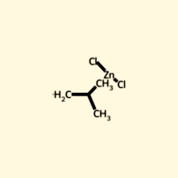 [CH2]C(C)C.[Cl][Zn][Cl]